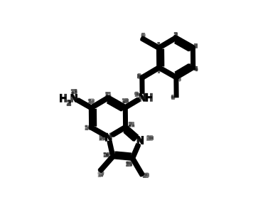 Cc1cccc(C)c1CNc1cc(N)cn2c(C)c(C)nc12